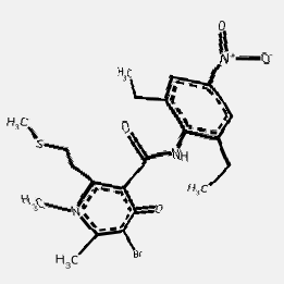 CCc1cc([N+](=O)[O-])cc(CC)c1NC(=O)c1c(CSC)n(C)c(C)c(Br)c1=O